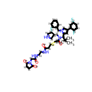 CC(C)(C)[C@H](c1cc(-c2cc(F)ccc2F)cn1Cc1ccccc1)N(C[C@@H]1CNC[C@@H]1F)C(=O)CSCCC(=O)NCCNC(=O)CN1C(=O)C=CC1=O